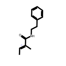 C/C=C(\C)C(=O)NCCc1ccccc1